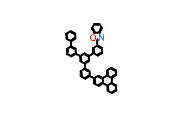 c1ccc(-c2cccc(-c3cc(-c4cccc(-c5ccc6c7ccccc7c7ccccc7c6c5)c4)cc(-c4cccc(-c5nc6ccccc6o5)c4)c3)c2)cc1